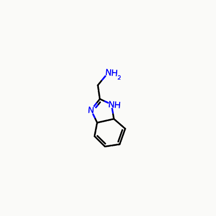 NCC1=NC2C=CC=CC2N1